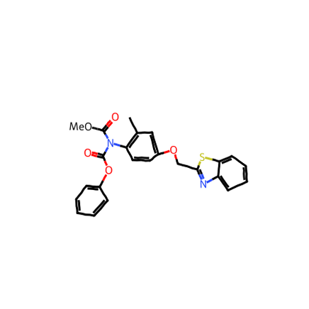 COC(=O)N(C(=O)Oc1ccccc1)c1ccc(OCc2nc3ccccc3s2)cc1C